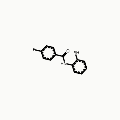 O=C(Nc1ccccc1S)c1ccc(F)cc1